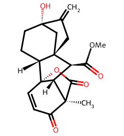 C=C1C[C@]23C[C@@]1(O)CC[C@H]2[C@@]12C=CC(=O)[C@](C)(C(=O)O1)[C@H]2[C@@H]3C(=O)OC